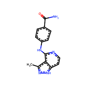 Cc1n[nH]c2ccnc(Nc3ccc(C(N)=O)cc3)c12